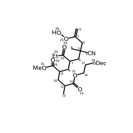 C=C(CC(C)(C#N)CC(CC(CC(C)C(=O)OCCCCCCCCCCCC)C(=O)OC)C(=O)CC)OO